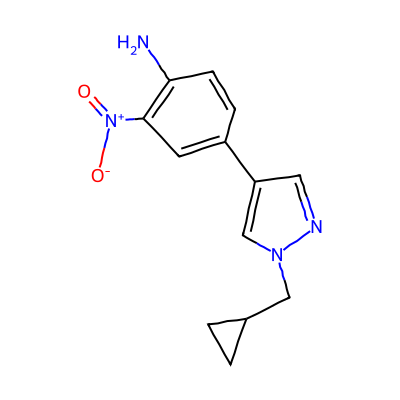 Nc1ccc(-c2cnn(CC3CC3)c2)cc1[N+](=O)[O-]